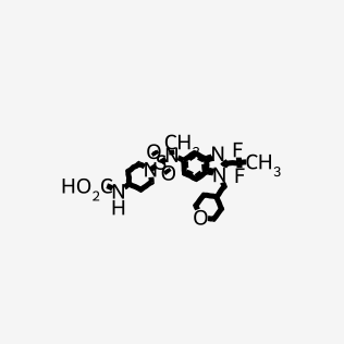 CN(c1ccc2c(c1)nc(C(C)(F)F)n2CC1CCOCC1)S(=O)(=O)N1CCC(NC(=O)O)CC1